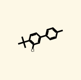 Cc1ccc(-c2ccc(C(C)(C)C)c(Cl)c2)cc1